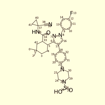 CC1(C)CCC(c2nn(-c3ccc(F)cc3)cc2-c2ccc(N3CCN(S(=O)O)CC3)cc2)C(C(=O)NC2(C#N)CC2)C1